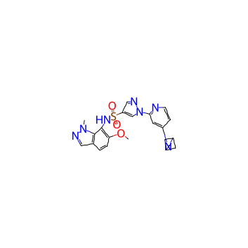 COc1ccc2cnn(C)c2c1NS(=O)(=O)c1cnn(-c2cc(N3CC4CC3C4)ccn2)c1